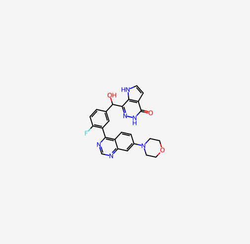 O=c1[nH]nc(C(O)c2ccc(F)c(-c3ncnc4cc(N5CCOCC5)ccc34)c2)c2[nH]ccc12